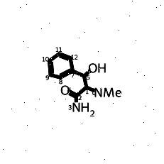 CNC(C(N)=O)C(O)c1ccccc1